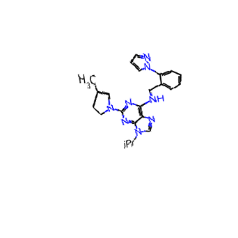 CC1CCN(c2nc(NCc3ccccc3-n3cccn3)c3ncn(C(C)C)c3n2)C1